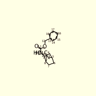 O=C(NC1CC2CCC1N2C(=O)O)OCc1ccccc1